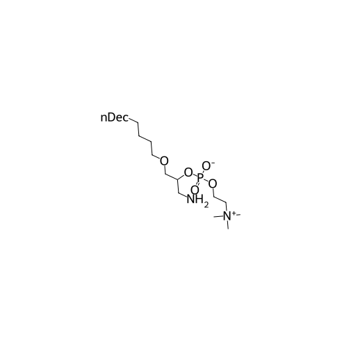 CCCCCCCCCCCCCCOCC(CN)OP(=O)([O-])OCC[N+](C)(C)C